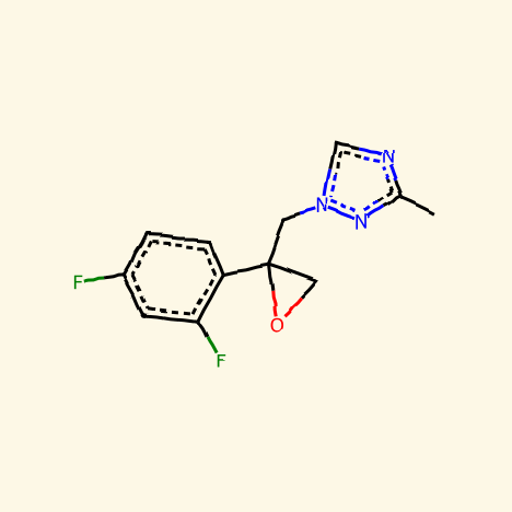 Cc1ncn(CC2(c3ccc(F)cc3F)CO2)n1